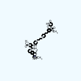 CN/C=C(\C=N)c1cc2c(cc1C(F)F)N(C(N)C1=C(NC3CCN(CCCCN4CCC(CCc5ccc6c(c5)n(C)c(=O)n6C5CCC(=O)NC5=O)CC4)CC3)CCN(C(C)=O)C1)CCC2